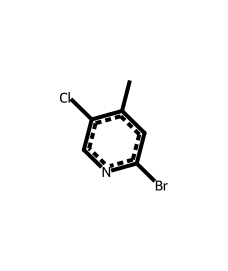 Cc1cc(Br)ncc1Cl